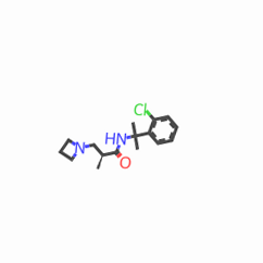 C[C@@H](CN1CCC1)C(=O)NC(C)(C)c1ccccc1Cl